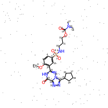 CCOc1ccc(S(=O)(=O)NCCCOC(=O)N(C)C)cc1-c1nn2c(C3CCCC3)nnc2c(=O)[nH]1